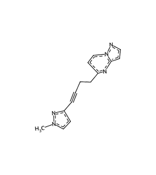 Cn1ccc(C#CCCc2ccn3nccc3n2)n1